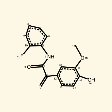 C=C(C(=O)Nc1ccccc1F)c1ccc(O)c(OC)c1